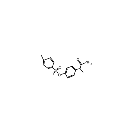 Cc1ccc(S(=O)(=O)Oc2ccc(C(C)C(N)=O)cc2)cc1